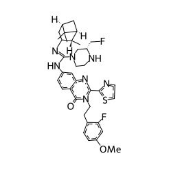 COc1ccc(CCn2c(-c3nccs3)nc3cc(N/C(=N/C4C[C@H]5C[C@@H]([C@@H]4C)C5(C)C)N4CCN[C@@H](CF)C4)ccc3c2=O)c(F)c1